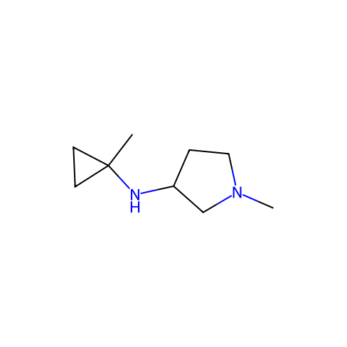 CN1CCC(NC2(C)CC2)C1